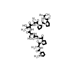 CC(=O)[C@H](C)NC(=O)[C@@H]1CCCN1C(=O)[C@@H]1CCCN1C(=O)[C@H](C)NC(=O)C(NC(=O)[C@H](CO)NC(=O)CNC(=O)[C@@H]1CCCN1C(=O)[C@H](C)NC(=O)[C@@H]1CCCN1C)[C@@H](C)O